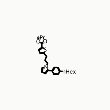 CCCCCCc1ccc(-c2cccn2CCCc2ccc(C(=O)OCCC)s2)cc1